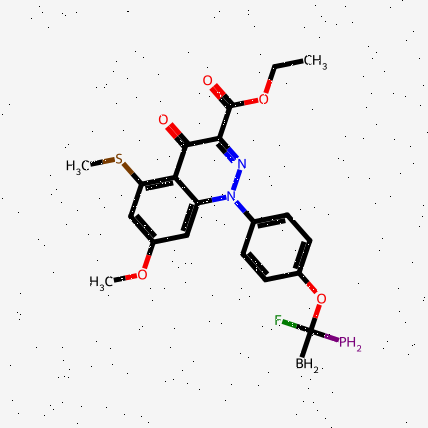 BC(F)(P)Oc1ccc(-n2nc(C(=O)OCC)c(=O)c3c(SC)cc(OC)cc32)cc1